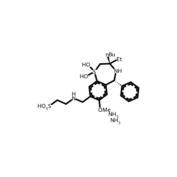 CCCC[C@]1(CC)CS(O)(O)c2cc(CNCCS(=O)(=O)O)c(OC)cc2[C@@H](c2ccccc2)N1.N.N